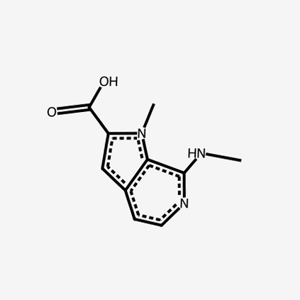 CNc1nccc2cc(C(=O)O)n(C)c12